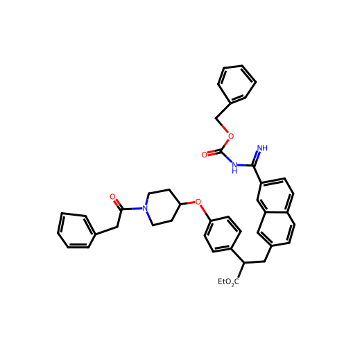 CCOC(=O)C(Cc1ccc2ccc(C(=N)NC(=O)OCc3ccccc3)cc2c1)c1ccc(OC2CCN(C(=O)Cc3ccccc3)CC2)cc1